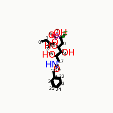 CCC(C)OP(=O)(O)C(F)C[C@@H](O)[C@@H](O)[C@@H](O)CNOCc1ccccc1